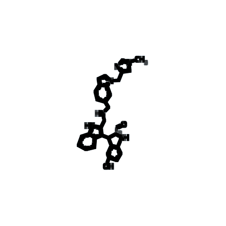 Cn1cnc(Cn2ccc3ccc(CNCc4[nH]c5ccccc5c4C4c5cc(O)ccc5N[C@H]4C=O)cc32)c1